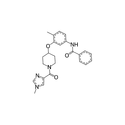 Cc1ccc(NC(=O)c2ccccc2)cc1OC1CCN(C(=O)c2cn(C)cn2)CC1